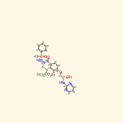 CCOC(=O)CCN(NS(=O)(=O)c1ccccc1)C(=O)c1ccc(OC[C@H](O)Nc2ncccn2)cc1.Cl